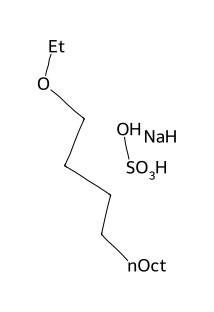 CCCCCCCCCCCCOCC.O=S(=O)(O)O.[NaH]